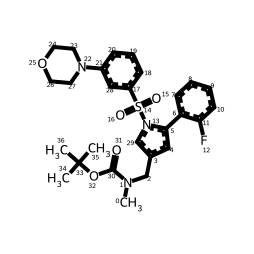 CN(Cc1cc(-c2ccccc2F)n(S(=O)(=O)c2cccc(N3CCOCC3)c2)c1)C(=O)OC(C)(C)C